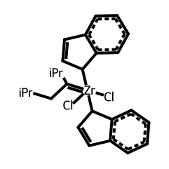 CC(C)C[C](C(C)C)=[Zr]([Cl])([Cl])([CH]1C=Cc2ccccc21)[CH]1C=Cc2ccccc21